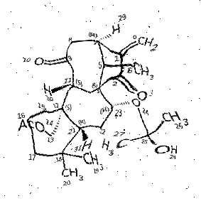 C=C1C(=O)[C@]23C(C)[C@H]1CC(=O)[C@H]2[C@]1(COC(C)=O)CCCC(C)(C)[C@H]1C[C@H]3OC(C)(C)O